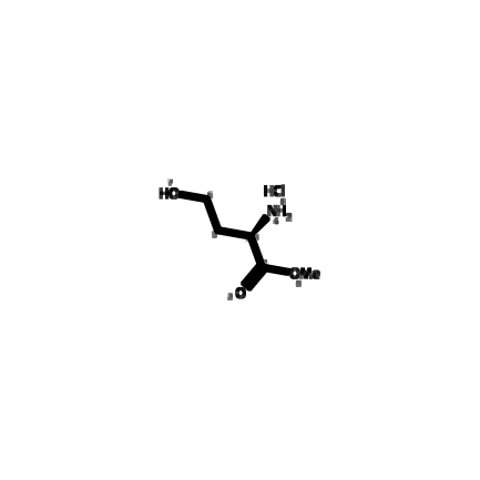 COC(=O)[C@H](N)CCO.Cl